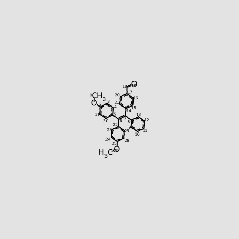 COc1ccc(C(=C(c2ccccc2)c2ccc(C=O)cc2)c2ccc(OC)cc2)cc1